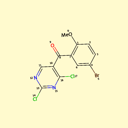 COc1ccc(Br)cc1C(=O)c1cnc(Cl)nc1Cl